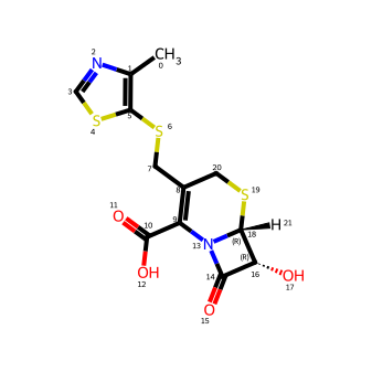 Cc1ncsc1SCC1=C(C(=O)O)N2C(=O)[C@@H](O)[C@H]2SC1